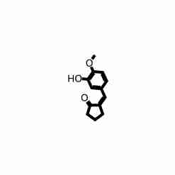 COc1ccc(/C=C2/CCCC2=O)cc1O